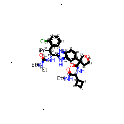 CCNC(=O)[C@H](NC(=O)C1(c2ccc3nc([C@@H](NC(=O)N(CC)CC)[C@H](c4ccccc4Cl)C(C)C)[nH]c3c2)CCOC1)C1CCC1